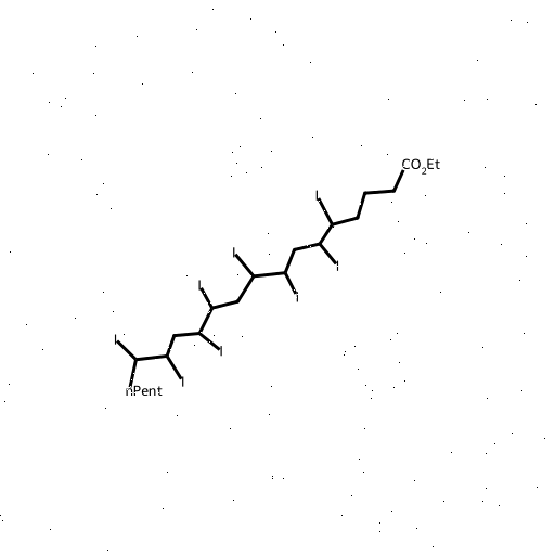 CCCCCC(I)C(I)CC(I)C(I)CC(I)C(I)CC(I)C(I)CCCC(=O)OCC